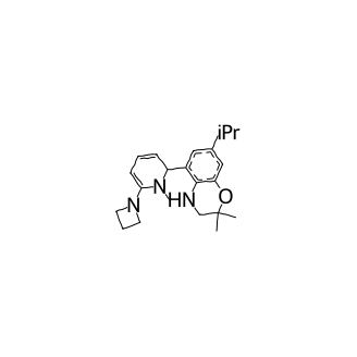 CC(C)c1cc2c(c(C3C=CC=C(N4CCC4)N3C)c1)NCC(C)(C)O2